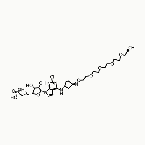 C#CCOCCOCCOCCOCCO/N=C1\CC[C@@H](Nc2nc(Cl)nc3c2cnn3[C@@H]2O[C@H](COCP(=O)(O)O)[C@@H](O)[C@H]2O)C1